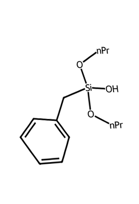 CCCO[Si](O)(Cc1ccccc1)OCCC